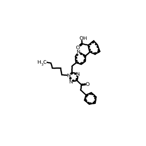 CCCCCn1nc(C(=O)Cc2ccccc2)nc1Cc1ccc(-c2ccccc2C(=O)O)nc1